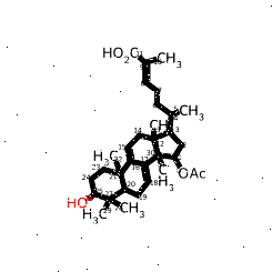 CC(=O)OC1CC(C(C)CCC=C(C)C(=O)O)C2(C)CC=C3C(=CCC4C3(C)CCC(O)C4(C)C)C12C